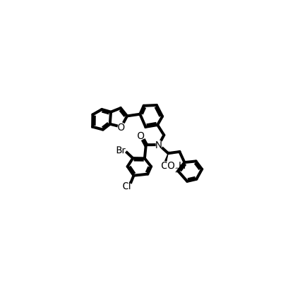 O=C(O)[C@H](Cc1ccccc1)N(Cc1cccc(-c2cc3ccccc3o2)c1)C(=O)c1ccc(Cl)cc1Br